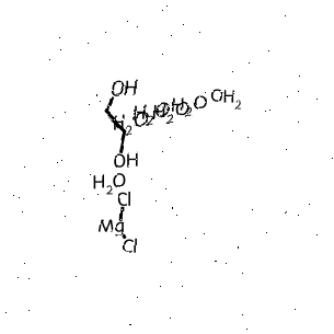 O.O.O.O.O.O.OCCO.[Cl][Mg][Cl]